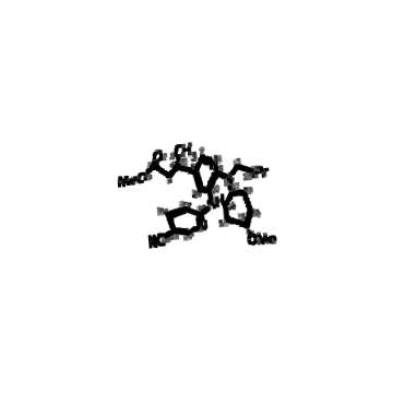 COC(=O)C[C@@H](C)c1cnc(N(CC(C)C)[C@H]2CC[C@@H](OC)CC2)c(Nc2ccc(C#N)cn2)c1